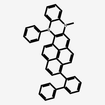 CN1c2ccccc2B(c2ccccc2)c2c1cc1ccc3c(-c4ccccc4-c4ccccc4)ccc4ccc2c1c43